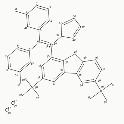 Cc1cccc([C](c2cccc(C)c2)=[Zr+2]([c]2cc(C(C)(C)C)cc3c2Cc2ccc(C(C)(C)C)cc2-3)[CH]2C=CC=C2)c1.[Cl-].[Cl-]